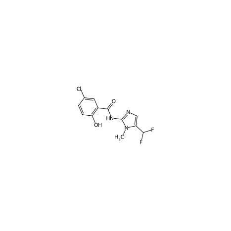 Cn1c(C(F)F)cnc1NC(=O)c1cc(Cl)ccc1O